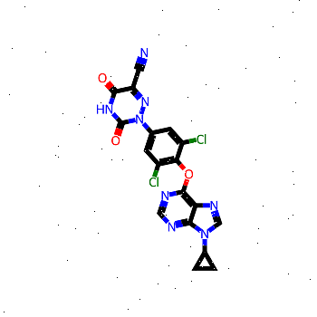 N#Cc1nn(-c2cc(Cl)c(Oc3ncnc4c3ncn4C3CC3)c(Cl)c2)c(=O)[nH]c1=O